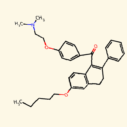 CCCCCOc1ccc2c(c1)CCC(c1ccccc1)=C2C(=O)c1ccc(OCCN(C)C)cc1